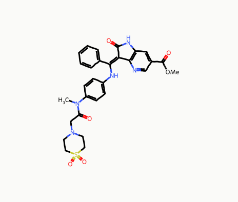 COC(=O)c1cnc2c(c1)NC(=O)C2=C(Nc1ccc(N(C)C(=O)CN2CCS(=O)(=O)CC2)cc1)c1ccccc1